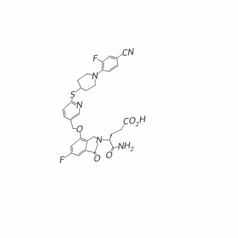 N#Cc1ccc(N2CCC(Sc3ccc(COc4cc(F)cc5c4CN([C@@H](CCC(=O)O)C(N)=O)C5=O)cn3)CC2)c(F)c1